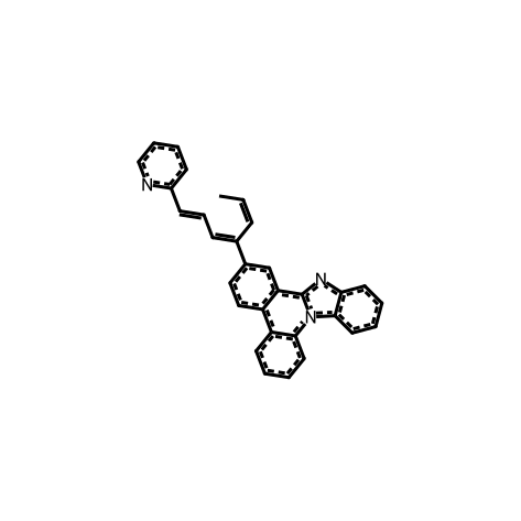 C\C=C/C(=C\C=C\c1ccccn1)c1ccc2c3ccccc3n3c4ccccc4nc3c2c1